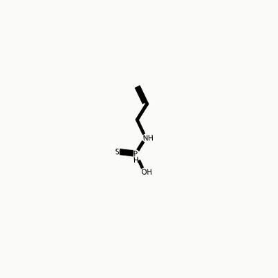 C=CCN[PH](O)=S